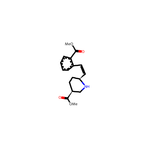 COC(=O)c1ccccc1/C=C\[C@@H]1CC[C@H](C(=O)OC)CN1